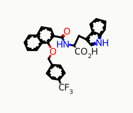 O=C(N[C@@H](Cc1c[nH]c2ccccc12)C(=O)O)c1ccc2ccccc2c1OCc1ccc(C(F)(F)F)cc1